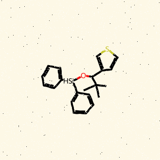 CC(C)(C)C(O[SiH](c1ccccc1)c1ccccc1)c1ccsc1